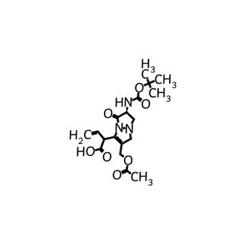 C=CC(C(=O)O)C1=C(COC(C)=O)CN2C[C@H](NC(=O)OC(C)(C)C)C(=O)N12